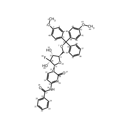 COc1ccc(C(OC[C@H]2O[C@@H](n3ccc(NC(=O)c4ccccc4)nc3=O)[C@@](O)(F)[C@@H]2O)(c2ccccc2)c2ccc(OC)cc2)cc1